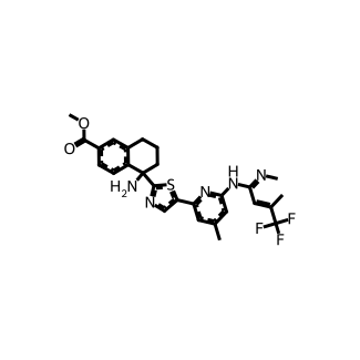 C/N=C(\C=C(/C)C(F)(F)F)Nc1cc(C)cc(-c2cnc(C3(N)CCCc4cc(C(=O)OC)ccc43)s2)n1